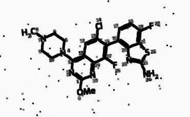 COc1nc(N2CCN(C)CC2)c2cc(Cl)c(-c3ccc(F)c4sc(N)nc34)c(F)c2n1